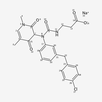 CC1=CN(C)C(=O)C(N(C(=O)NCCC(=O)[O-])c2cccc(Cc3ccc(Cl)cc3)c2)C1=O.[Na+]